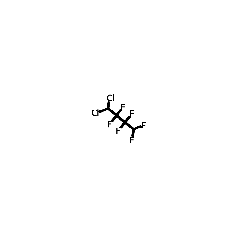 FC(F)C(F)(F)C(F)(F)C(Cl)Cl